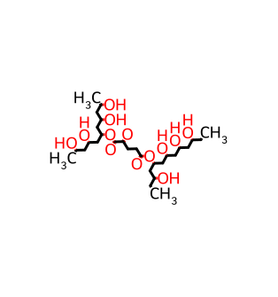 CCC(O)CC(O)CC(O)CC(CC(O)CC)OC(=O)CCC(=O)C(=O)OC(CC(O)CC(C)O)CC(O)CC(C)O